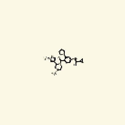 CN1CCN(C(=O)c2ccc(NC(=O)C3CC3)cc2N2CCCC2)C(c2cnn(C)c2)C1